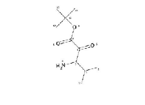 CC(C)C(N)C(=O)C(=O)OC(C)(C)C